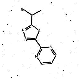 CC(Br)c1nnc(-c2ncccn2)s1